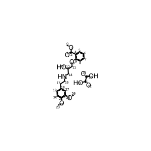 COC(=O)c1ccccc1OCC(O)CNCCc1ccc(OC)c(OC)c1.O=C(O)C(=O)O